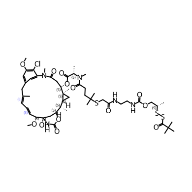 COc1cc2cc(c1Cl)N(C)C(=O)C[C@H](OC(=O)[C@H](C)N(C)C(=O)CCC(C)(C)SCC(=O)NCCNC(=O)OC[C@H](C)SSC(=O)C(C)(C)C)[C@@]1(C)C[C@H]1[C@H](C)[C@@H]1C[C@@](O)(NC(=O)O1)[C@H](OC)/C=C/C=C(\C)C2